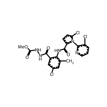 COC(=O)NNC(=O)c1cc(Cl)cc(C)c1NC(=O)c1ccc(Cl)n1-c1ncccc1Cl